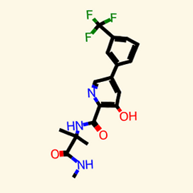 CNC(=O)C(C)(C)NC(=O)c1ncc(-c2cccc(C(F)(F)F)c2)cc1O